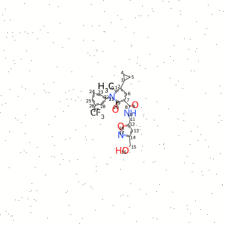 Cc1c(C2CC2)cc(C(=O)NCc2cc(CO)no2)c(=O)n1-c1cccc(C(F)(F)F)c1